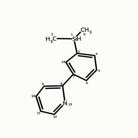 C[SiH](C)c1cccc(-c2ccccn2)c1